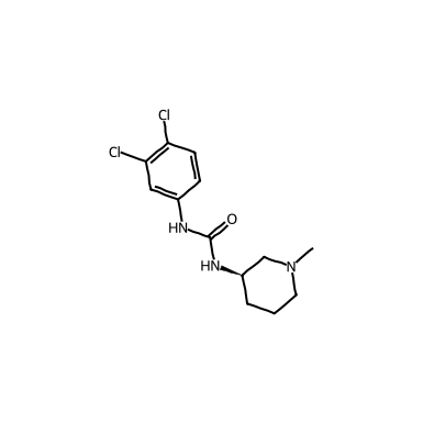 CN1CCC[C@@H](NC(=O)Nc2ccc(Cl)c(Cl)c2)C1